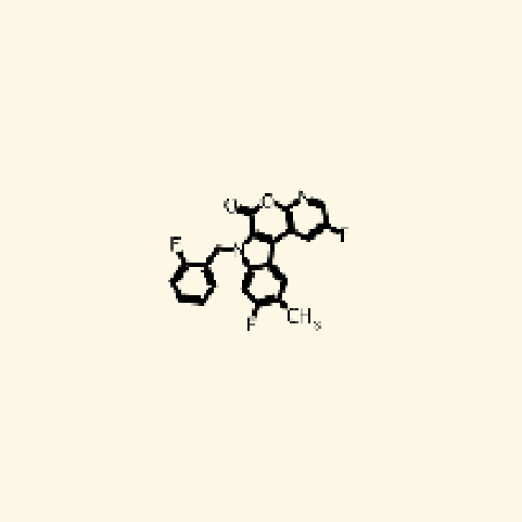 Cc1cc2c3c4cc(F)cnc4oc(=O)c3n(Cc3ccccc3F)c2cc1F